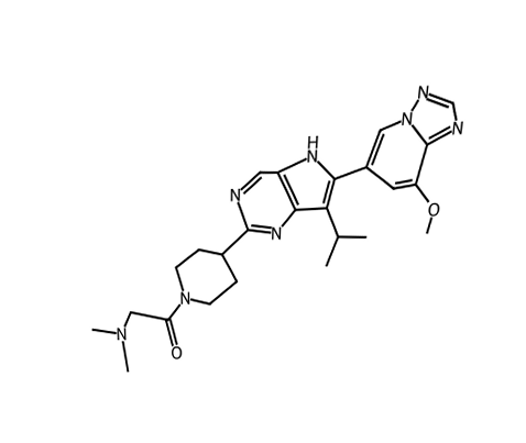 COc1cc(-c2[nH]c3cnc(C4CCN(C(=O)CN(C)C)CC4)nc3c2C(C)C)cn2ncnc12